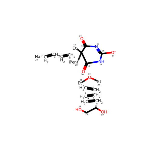 C=C.C=C.C=C.C=C.C=C.CCCC(C)C1(CC)C(=O)N=C([O-])NC1=O.CCOCC.OCCO.[Na+]